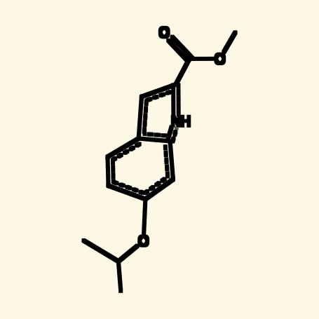 COC(=O)c1cc2ccc(OC(C)C)cc2[nH]1